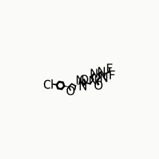 Cn1c(C(F)F)nc2ncn(Cc3nc([C@@H]4CO[C@@H](c5ccc(Cl)cc5)C4)no3)c(=O)c21